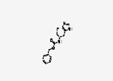 O=C(NC(CF)Cc1cnc[nH]1)OCc1ccccc1